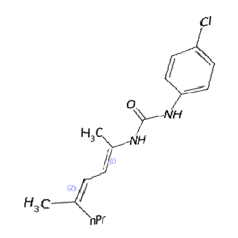 CCC/C(C)=C\C=C(/C)NC(=O)Nc1ccc(Cl)cc1